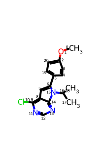 COc1ccc(-c2cc3c(Cl)ncnc3n2C(C)C)cc1